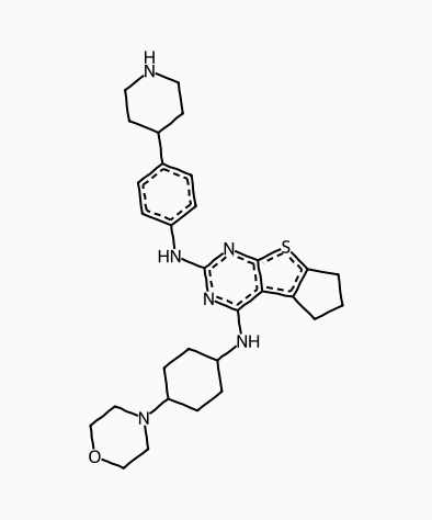 c1cc(C2CCNCC2)ccc1Nc1nc(NC2CCC(N3CCOCC3)CC2)c2c3c(sc2n1)CCC3